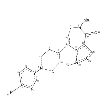 CCCCN1CC=C(N2CCN(c3ccc(F)cc3)CC2)c2c(ccn2C)C1=O